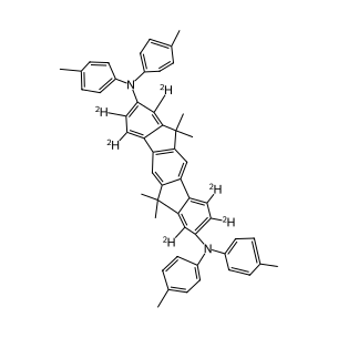 [2H]c1c([2H])c(N(c2ccc(C)cc2)c2ccc(C)cc2)c([2H])c2c1-c1cc3c(cc1C2(C)C)-c1c([2H])c([2H])c(N(c2ccc(C)cc2)c2ccc(C)cc2)c([2H])c1C3(C)C